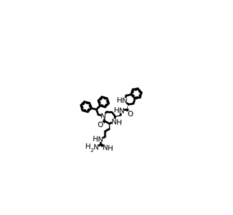 N=C(N)NCCC[C@@H]1N[C@H](CNC(=O)[C@H]2Cc3ccccc3CN2)CCN(CC(c2ccccc2)c2ccccc2)C1=O